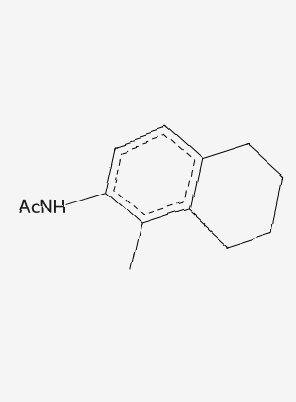 CC(=O)Nc1ccc2c(c1C)CCCC2